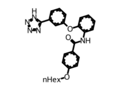 CCCCCCOc1ccc(C(=O)Nc2ccccc2Oc2cccc(-c3nnn[nH]3)c2)cc1